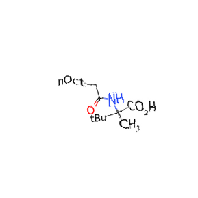 CCCCCCCCCC(=O)NC(C)(C(=O)O)C(C)(C)C